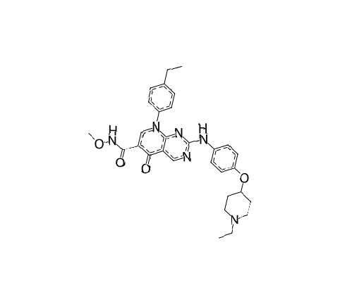 CCc1ccc(-n2cc(C(=O)NOC)c(=O)c3cnc(Nc4ccc(OC5CCN(CC)CC5)cc4)nc32)cc1